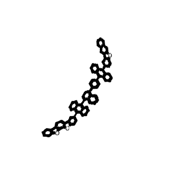 c1ccc2cc3c(cc2c1)oc1ccc(-c2c4ccccc4c(-c4ccc(-c5ccc(-c6c7ccccc7c(-c7ccc8oc9c(ccc%10c%11ccccc%11oc%109)c8c7)c7ccccc67)c6ccccc56)cc4)c4ccccc24)cc13